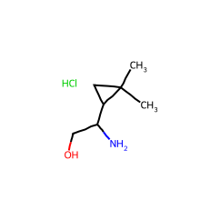 CC1(C)CC1C(N)CO.Cl